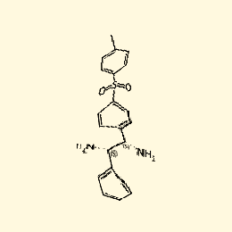 Cc1ccc(S(=O)(=O)c2ccc([C@H](N)[C@@H](N)c3ccccc3)cc2)cc1